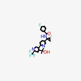 C[C@@H]1C[C@]1(NC(=O)c1ccc(F)cc1)c1ccc(-c2cnc(C(F)(F)F)cc2C(C)(C)O)nc1